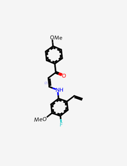 C=Cc1cc(F)c(OC)cc1N/C=C\C(=O)c1ccc(OC)cc1